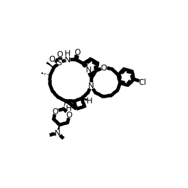 C[C@@H]1[C@@H](C)CCCC2([C@H]3OC[C@H](N(C)C)CO3)C3C[C@@H](CN4CCCCc5cc(Cl)ccc5COc5ccc(nc54)C(=O)NS1(=O)=O)[C@@H]32